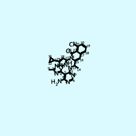 Cc1noc(-c2c(N)ncnc2NC(C)c2cc3cccc(Cl)c3c(=O)n2-c2cc(C3CC3)[nH]n2)n1